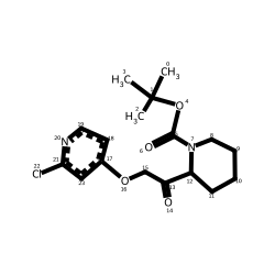 CC(C)(C)OC(=O)N1CCCCC1C(=O)COc1ccnc(Cl)c1